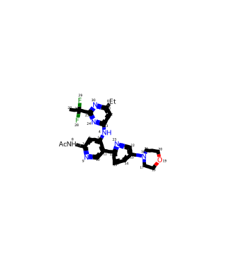 CCc1cc(Nc2cc(NC(C)=O)ncc2-c2ccc(N3CCOCC3)cn2)nc(C(C)(F)F)n1